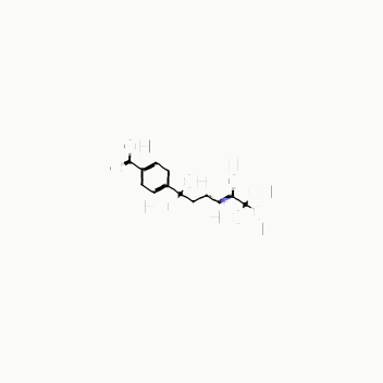 C/C(=C\CCC(C)(C)C1=CCC(C(=O)O)=CC1)C(C)(C)C